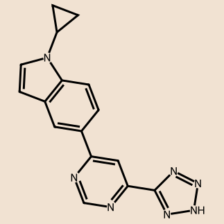 c1nc(-c2ccc3c(ccn3C3CC3)c2)cc(-c2nn[nH]n2)n1